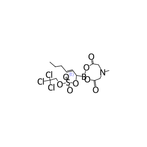 CCC/C=C/C(OS(=O)(=O)OCC(Cl)(Cl)Cl)B1OC(=O)CN(C)CC(=O)O1